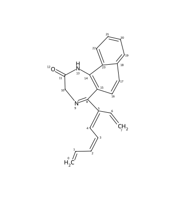 C=C/C=C\C=C(/C=C)C1=NCC(=O)Nc2c1ccc1ccccc21